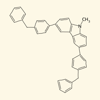 Cn1c2ccc(-c3ccc(Cc4ccccc4)cc3)cc2c2cc(-c3ccc(Cc4ccccc4)cc3)ccc21